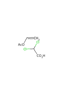 C=COC(C)=O.O=C(O)C(Cl)Cl